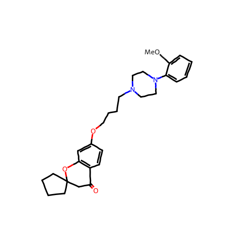 COc1ccccc1N1CCN(CCCCOc2ccc3c(c2)OC2(CCCC2)CC3=O)CC1